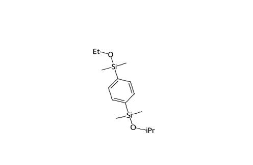 CCO[Si](C)(C)c1ccc([Si](C)(C)OC(C)C)cc1